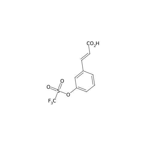 O=C(O)C=Cc1cccc(OS(=O)(=O)C(F)(F)F)c1